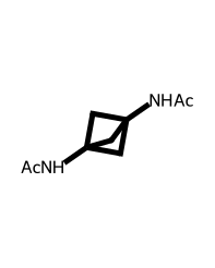 CC(=O)NC12CC(NC(C)=O)(C1)C2